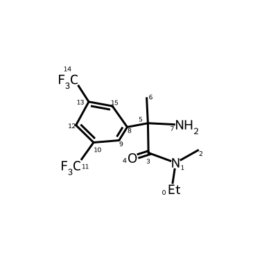 CCN(C)C(=O)C(C)(N)c1cc(C(F)(F)F)cc(C(F)(F)F)c1